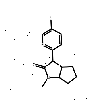 CN1C(=O)C(c2ccc(I)cn2)C2CCCC21